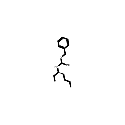 CCCC[C@@H](CC)NC(O)OCc1ccccc1